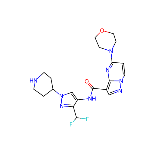 O=C(Nc1cn(C2CCNCC2)nc1C(F)F)c1cnn2ccc(N3CCOCC3)nc12